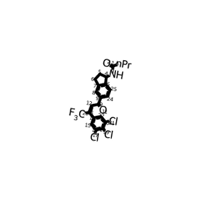 CCCC(=O)NC1CCc2cc(C(=O)C=C(c3cc(Cl)c(Cl)c(Cl)c3)C(F)(F)F)ccc21